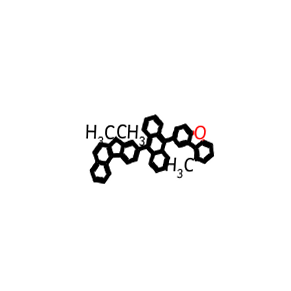 Cc1cccc2oc3ccc(C4=c5ccccc5=C(c5ccc6c(c5)C(C)(C)c5ccc7ccccc7c5-6)C5C=CC=CC45)cc3c12